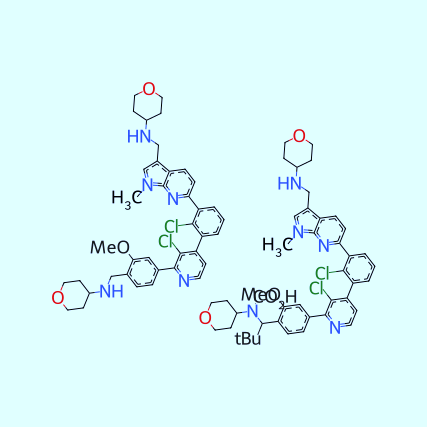 COc1cc(-c2nccc(-c3cccc(-c4ccc5c(CNC6CCOCC6)cn(C)c5n4)c3Cl)c2Cl)ccc1C(N(C(=O)O)C1CCOCC1)C(C)(C)C.COc1cc(-c2nccc(-c3cccc(-c4ccc5c(CNC6CCOCC6)cn(C)c5n4)c3Cl)c2Cl)ccc1CNC1CCOCC1